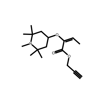 C#CCOC(=O)C(=CC)OC1CC(C)(C)N(C)C(C)(C)C1